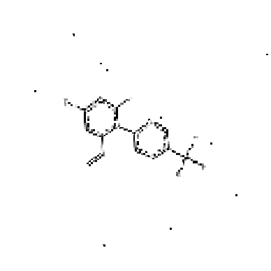 C=Cc1cc(F)cc(F)c1-c1ccc(C(F)(F)F)cn1